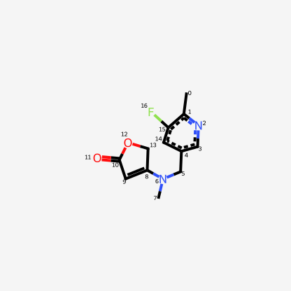 Cc1ncc(CN(C)C2=CC(=O)OC2)cc1F